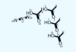 CC(=O)O.CC(=O)O.CC(=O)O.CC(=O)O.[N-]=[N+]=[N-]